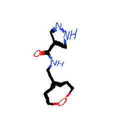 O=C(NCC1CCOCC1)c1cn[nH]c1